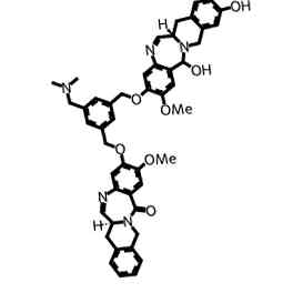 COc1cc2c(cc1OCc1cc(COc3cc4c(cc3OC)C(O)N3Cc5cc(O)ccc5C[C@H]3C=N4)cc(CN(C)C)c1)N=C[C@@H]1Cc3ccccc3CN1C2=O